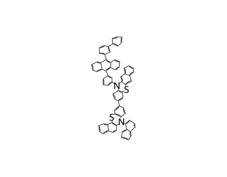 c1ccc(-c2cccc(-c3c4ccccc4c(-c4cccc(N5c6ccc(-c7ccc8c(c7)Sc7c(ccc9ccccc79)N8c7cccc8ccccc78)cc6Sc6cc7ccccc7cc65)c4)c4ccccc34)c2)cc1